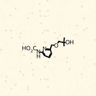 CC(C)(O)COCc1cccc(NC(=O)O)n1